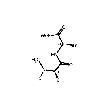 CNC(=O)[C@@H](NC(=O)[C@@H](C)N(C)C)C(C)C